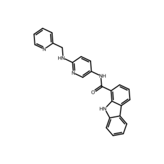 O=C(Nc1ccc(NCc2ccccn2)nc1)c1cccc2c1[nH]c1ccccc12